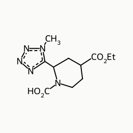 CCOC(=O)C1CCN(C(=O)O)C(c2nnnn2C)C1